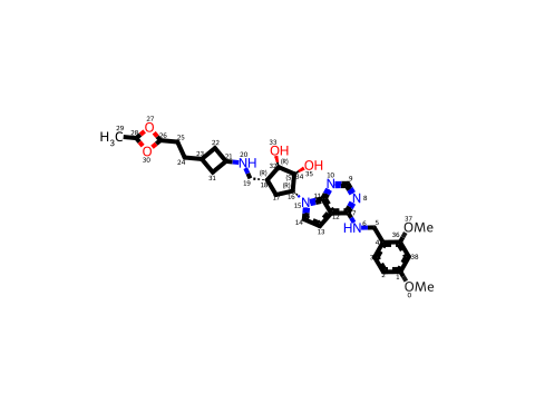 COc1ccc(CNc2ncnc3c2ccn3[C@@H]2C[C@H](CNC3CC(CCC4OC(C)O4)C3)[C@@H](O)[C@H]2O)c(OC)c1